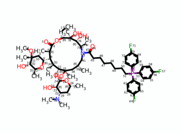 CC[C@H]1OC(=O)[C@H](C)C([C@H]2C[C@@](C)(OC)[C@@H](O)[C@H](C)O2)[C@H](C)[C@@H](O[C@@H]2O[C@H](C)C[C@H](N(C)C)[C@H]2O)[C@](C)(O)C[C@@H](C)CN(C(=O)CCCCCCC[PH](c2ccc(F)cc2)(c2ccc(F)cc2)c2ccc(F)cc2)[C@H](C)[C@@H](O)[C@]1(C)O